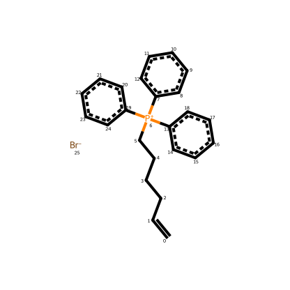 C=CCCCC[P+](c1ccccc1)(c1ccccc1)c1ccccc1.[Br-]